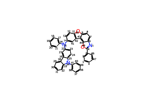 c1ccc(-c2nc3ccc4oc5ccc(N(c6ccccc6)c6ccc7c(c6)c6ccccc6n7-c6ccccc6)cc5c4c3o2)cc1